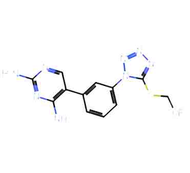 Nc1ncc(-c2cccc(-n3nnnc3SCC(F)(F)F)c2)c(N)n1